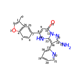 Cc1coc2ccc(-c3cc(=O)n4nc(N)c(-c5ccccn5)c4[nH]3)cc12